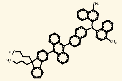 CCCCC1(CCCC)c2ccccc2-c2cc(-c3c4ccccc4c(-c4ccc5cc(N(c6ccc(C)c7ccccc67)c6ccc(C)c7ccccc67)ccc5c4)c4ccccc34)ccc21